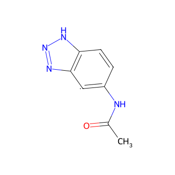 CC(=O)Nc1[c]c2nn[nH]c2cc1